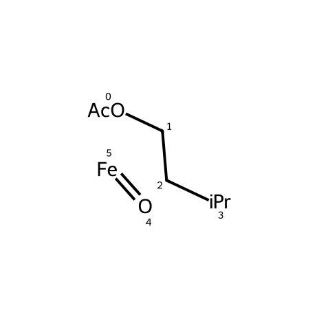 CC(=O)OCCC(C)C.[O]=[Fe]